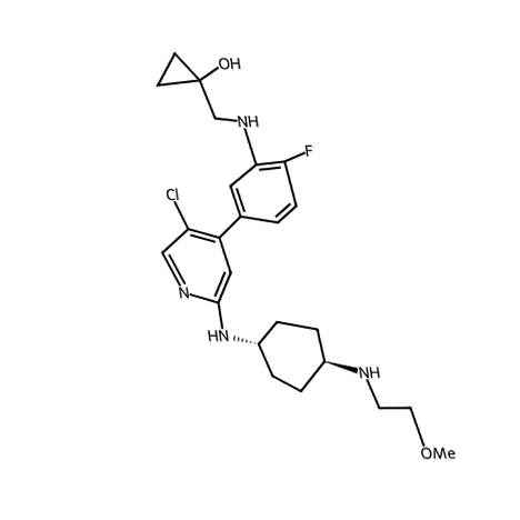 COCCN[C@H]1CC[C@H](Nc2cc(-c3ccc(F)c(NCC4(O)CC4)c3)c(Cl)cn2)CC1